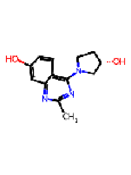 Cc1nc(N2CC[C@H](O)C2)c2ccc(O)cc2n1